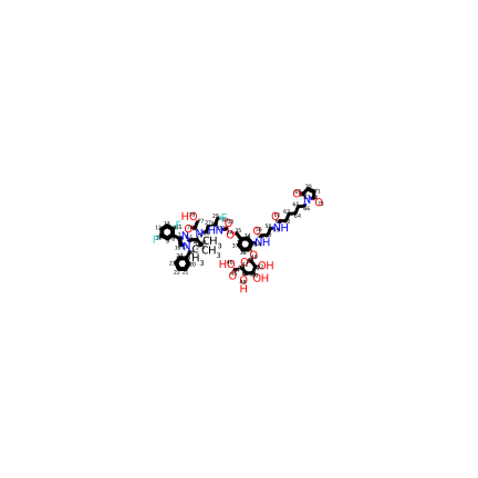 CC(C)(C)[C@H](c1nc(-c2cc(F)ccc2F)cn1Cc1ccccc1)N(CC[C@@H](CF)NC(=O)OCc1ccc(O[C@@H]2O[C@H](C(=O)O)[C@@H](O)[C@H](O)[C@H]2O)c(NC(=O)CCNC(=O)CCCCCN2C(=O)C=CC2=O)c1)C(=O)CO